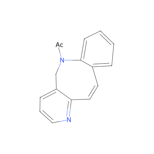 CC(=O)N1Cc2cccnc2C=Cc2ccccc21